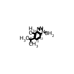 Bn1nnc2c(C)c(C(C)C)ccc21